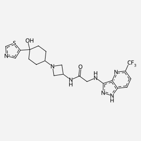 O=C(CNc1n[nH]c2ccc(C(F)(F)F)nc12)NC1CN(C2CCC(O)(c3cncs3)CC2)C1